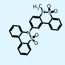 CN1c2ccc(N3c4ccccc4-c4ccccc4S3(=O)=O)cc2-c2ccccc2S1(=O)=O